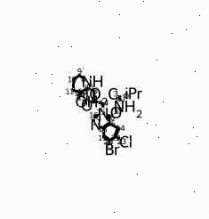 CC(C)[C@H](N)C(=O)O.O=C(C[C@@H]1NCCC[C@H]1O)Cn1cnc2cc(Br)c(Cl)cc2c1=O